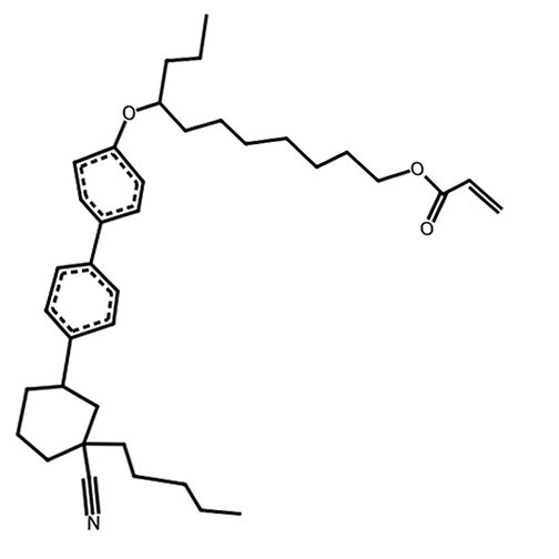 C=CC(=O)OCCCCCCCC(CCC)Oc1ccc(-c2ccc(C3CCCC(C#N)(CCCCC)C3)cc2)cc1